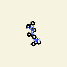 c1cc(-n2c3ccccc3c3cc(-n4c5ccccc5c5cccnc54)ccc32)nc(-n2c3ccccc3c3cccnc32)c1